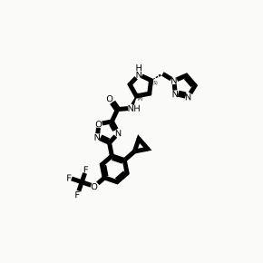 O=C(N[C@H]1CN[C@H](Cn2ccnn2)C1)c1nc(-c2cc(OC(F)(F)F)ccc2C2CC2)no1